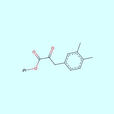 Cc1ccc(CC(=O)C(=O)OC(C)C)cc1C